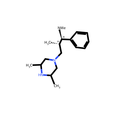 [CH2-][NH2+][C@@H](c1ccccc1)[C@@H](C)CN1CC(C)NC(C)C1